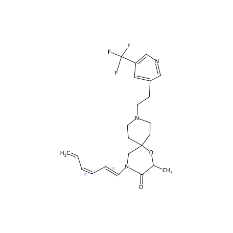 C=C/C=C\C=C\N1CC2(CCN(CCc3cncc(C(F)(F)F)c3)CC2)OC(C)C1=O